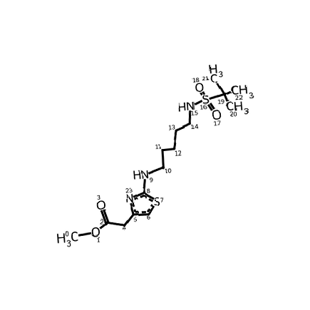 COC(=O)Cc1csc(NCCCCCNS(=O)(=O)C(C)(C)C)n1